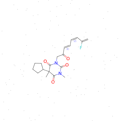 C=C(F)/C=C\C=C\C(=O)CN1C(=O)N(C)C(=O)C(C)(C2CCCC2)C1=O